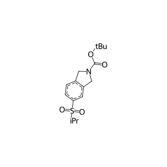 CC(C)S(=O)(=O)c1ccc2c(c1)CN(C(=O)OC(C)(C)C)C2